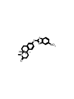 CN1C(=O)CC[C@]2(C)c3ccc(Sc4nc5cc([N+](=O)[O-])ccc5s4)cc3CC[C@@H]12